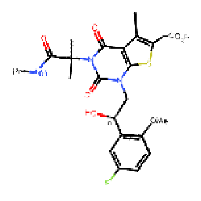 COc1ccc(F)cc1[C@@H](O)Cn1c(=O)n(C(C)(C)C(=O)NC(C)C)c(=O)c2c(C)c(C(=O)O)sc21